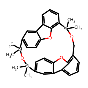 C[Si]1(C)O[Si](C)(C)c2ccc3oc4c(cccc4c3c2)[Si](C)(C)OCc2cccc3c2oc2ccc1cc23